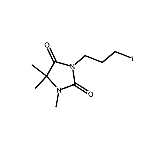 CN1C(=O)N(CCCI)C(=O)C1(C)C